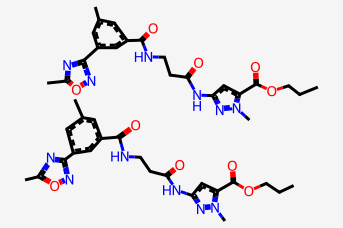 CCCOC(=O)c1cc(NC(=O)CCNC(=O)c2cc(C)cc(-c3noc(C)n3)c2)nn1C.CCCOC(=O)c1cc(NC(=O)CCNC(=O)c2cc(C)cc(-c3noc(C)n3)c2)nn1C